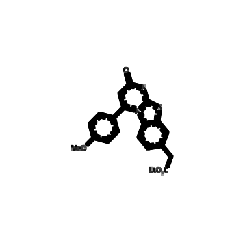 CCOC(=O)Cc1ccc2c(c1)sc1nc(=O)cc(-c3ccc(OC)cc3)n12